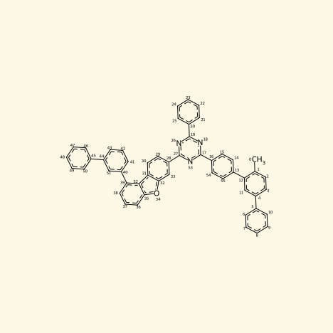 Cc1ccc(-c2ccccc2)cc1-c1ccc(-c2nc(-c3ccccc3)nc(-c3ccc4c(c3)oc3cccc(-c5cccc(-c6ccccc6)c5)c34)n2)cc1